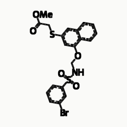 COC(=O)CSc1cc(OCNS(=O)(=O)c2cccc(Br)c2)c2ccccc2c1